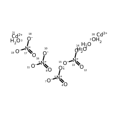 O.O.O.O.O=[N+]([O-])[O-].O=[N+]([O-])[O-].O=[N+]([O-])[O-].O=[N+]([O-])[O-].[Cd+2].[Cd+2]